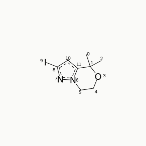 CC1(C)OCCn2nc(I)cc21